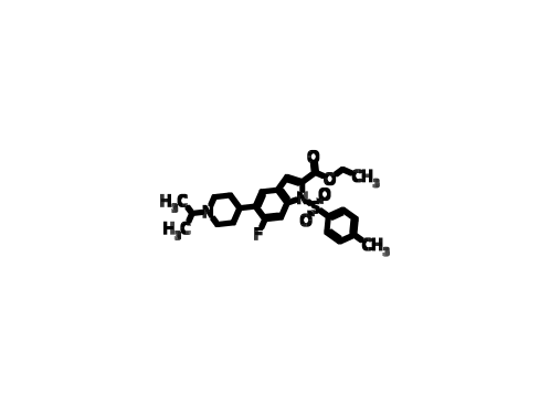 CCOC(=O)c1cc2cc(C3CCN(C(C)C)CC3)c(F)cc2n1S(=O)(=O)c1ccc(C)cc1